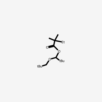 CCC(C)(C)C(=O)OC(OCC(C)(C)C)C(C)(C)C